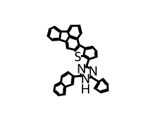 c1ccc(C2=NC(c3cccc4c3sc3cc5c6c(cccc6c34)-c3ccccc3-5)=NC(c3ccc4ccccc4c3)N2)cc1